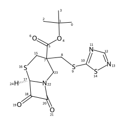 CC(C)(C)OC(=O)C1(CSc2ncns2)CS[C@@H]2C(=O)C(=O)N2C1